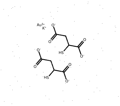 O=C([O-])CC(S)C(=O)[O-].O=C([O-])CC(S)C(=O)[O-].[Au+3].[K+]